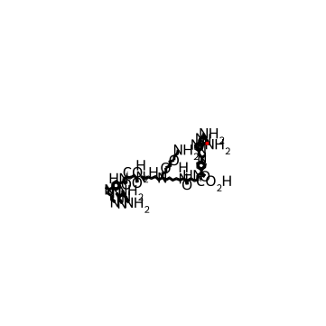 CN(Cc1cnc2nc(N)nc(N)c2n1)c1ccc(C(=O)N[C@@H](CCC(=O)NCCCCCN(CCCCCNC(=O)CC[C@H](NC(=O)c2ccc(N(C)Cc3cnc4nc(N)nc(N)c4n3)cc2)C(=O)O)CCOCCOCCN)C(=O)O)cc1